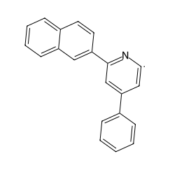 [c]1cc(-c2ccccc2)cc(-c2ccc3ccccc3c2)n1